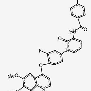 COc1cc2nccc(Oc3ccc(-n4cccc(NC(=O)c5ccc(F)cc5)c4=O)cc3F)c2cc1OC